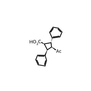 CC(=O)[C@H]1[C@@H](c2ccccc2)[C@@H](C(=O)O)[C@@H]1c1ccccc1